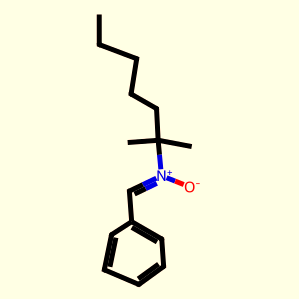 CCCCCC(C)(C)[N+]([O-])=Cc1ccccc1